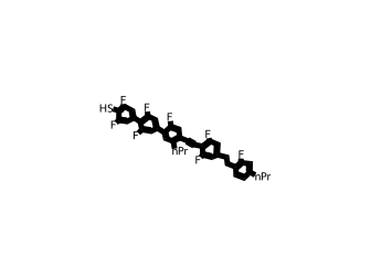 CCCc1ccc(CCc2cc(F)c(C#Cc3cc(F)c(-c4cc(F)c(-c5cc(F)c(S)c(F)c5)c(F)c4)cc3CCC)c(F)c2)c(F)c1